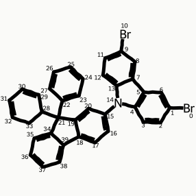 Brc1ccc2c(c1)c1cc(Br)ccc1n2-c1ccc2c(c1)C(c1ccccc1)(C1C=CC=CC1)c1ccccc1-2